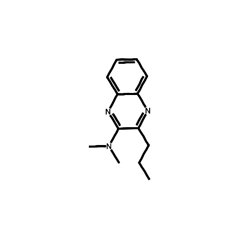 CCCc1nc2ccccc2nc1N(C)C